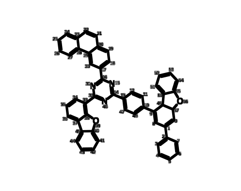 C1=C(c2ccccc2)C=C(c2ccc(-c3nc(-c4ccc5ccc6ccccc6c5c4)nc(-c4cccc5c4oc4ccccc45)n3)cc2)C2c3ccccc3OC12